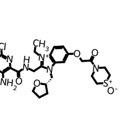 CC[n+]1c(CNC(=O)c2nc(Cl)cnc2N)n(C[C@@H]2CCCO2)c2cc(OCC(=O)N3CC[S+]([O-])CC3)ccc21